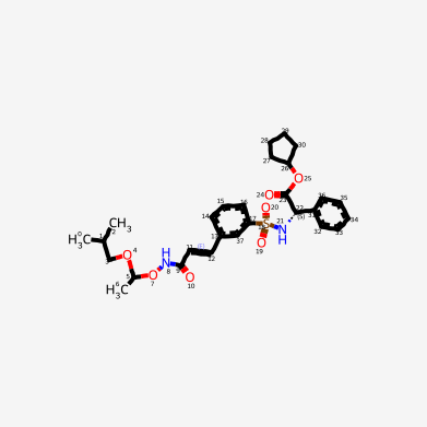 CC(C)COC(C)ONC(=O)/C=C/c1cccc(S(=O)(=O)N[C@H](C(=O)OC2CCCC2)c2ccccc2)c1